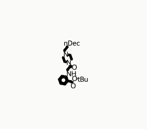 CCCCCCCCCCCCN1CCN(C(=O)CNc2ccccc2C(=O)OC(C)(C)C)CC1